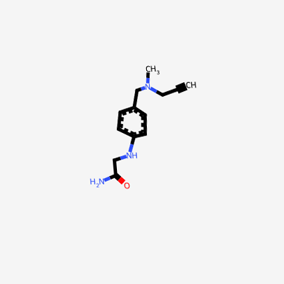 C#CCN(C)Cc1ccc(NCC(N)=O)cc1